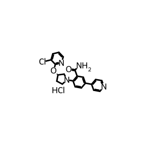 Cl.NC(=O)c1cc(-c2ccncc2)ccc1N1CC[C@H](Oc2ncccc2Cl)C1